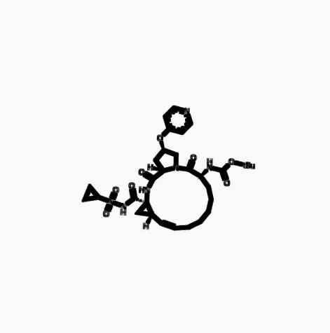 CC(C)(C)OC(=O)N[C@H]1CCCCC/C=C\[C@@H]2C[C@@]2(C(=O)NS(=O)(=O)C2CC2)NC(=O)[C@@H]2C[C@@H](Oc3ccncc3)CN2C1=O